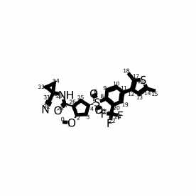 CO[C@H]1C[C@@H](S(=O)(=O)c2ccc(-c3cc(C)sc3C)cc2C(F)(F)F)C[C@@H]1C(=O)NC1(C#N)CC1